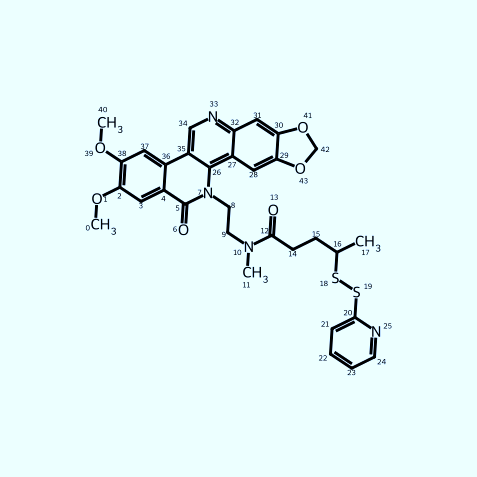 COc1cc2c(=O)n(CCN(C)C(=O)CCC(C)SSc3ccccn3)c3c4cc5c(cc4ncc3c2cc1OC)OCO5